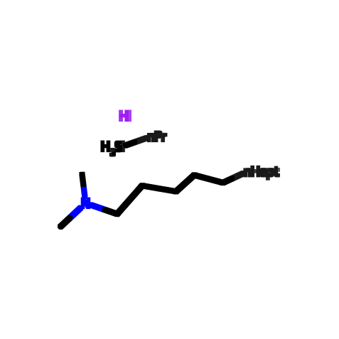 CCCCCCCCCCCCN(C)C.CCC[SiH3].I